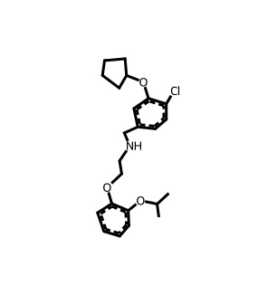 CC(C)Oc1ccccc1OCCNCc1ccc(Cl)c(OC2CCCC2)c1